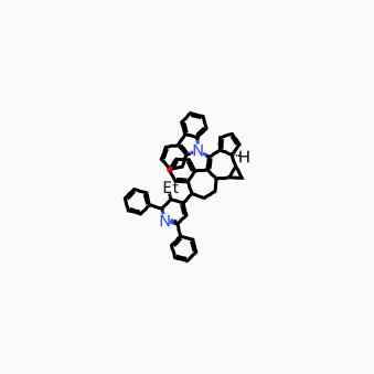 CCC1C(C2CCC3C(=C(n4c5c(c6ccccc64)C=CCC5)C4=CC=C[C@H]4C4CC34)c3ccccc32)=CC(c2ccccc2)=NC1c1ccccc1